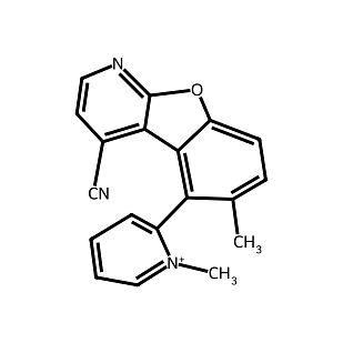 Cc1ccc2oc3nccc(C#N)c3c2c1-c1cccc[n+]1C